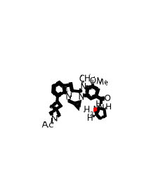 COc1cc(C(=O)N2C[C@H]3CC[C@@H]2[C@@H]3N)cc2nc(-c3cc4cccc(C5CC6(C5)CN(C(C)=O)C6)c4n3CC3CC3)n(C)c12